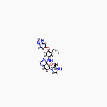 Cc1cc(Nc2ncnc3ccc4c(c23)OC[C@H]2CN4CCN2)ccc1Oc1ccn2ncnc2c1